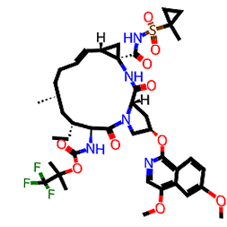 CC[C@@H]1C[C@H](C)CC/C=C/[C@@H]2C[C@@]2(C(=O)NS(=O)(=O)C2(C)CC2)NC(=O)[C@@H]2C[C@@H](Oc3ncc(OC)c4cc(OC)ccc34)CN2C(=O)[C@H]1NC(=O)OC(C)(C)C(F)(F)F